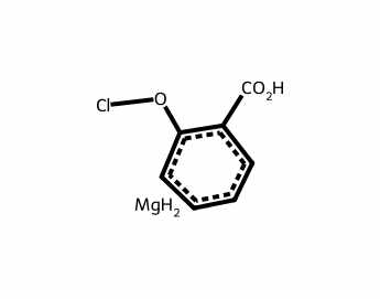 O=C(O)c1ccccc1OCl.[MgH2]